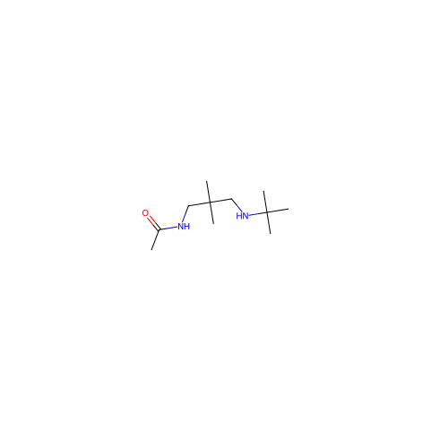 CC(=O)NCC(C)(C)CNC(C)(C)C